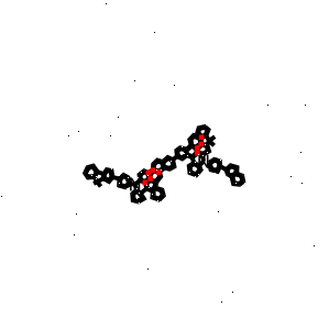 CC1(C)c2ccccc2-c2ccc(-c3ccc(N(c4ccc(-c5ccc6cc(-c7ccc8c(c7)c(-c7ccccc7N(c7ccc(-c9ccc%10ccccc%10c9)cc7)c7ccc9c(c7)C(C)(C)c7ccccc7-9)cc7ccccc78)ccc6c5)cc4)c4ccccc4-c4cc5ccccc5c5ccccc45)cc3)cc21